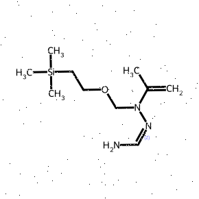 C=C(C)N(COCC[Si](C)(C)C)/N=C\N